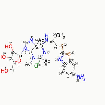 CC(=O)N1C2N([C@@H]3O[C@H](CO)C(O)C3O)C=NC2(C(C)=O)C(N[C@H](C)CSc2nc3ccc(N)cc3s2)=NC1(Cl)C(C)=O